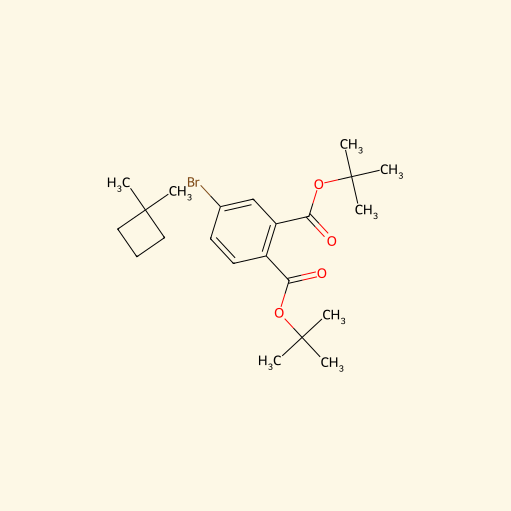 CC(C)(C)OC(=O)c1ccc(Br)cc1C(=O)OC(C)(C)C.CC1(C)CCC1